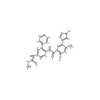 Cn1ccc(-c2cc(C(=O)Nc3cnc(NC(=O)CO)nc3-c3ccccc3)c(F)cc2C(F)(F)F)n1